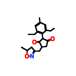 CCc1cc(C)cc(CC)c1C1C(=O)CC(CC2=NOC(C)C2)C1=O